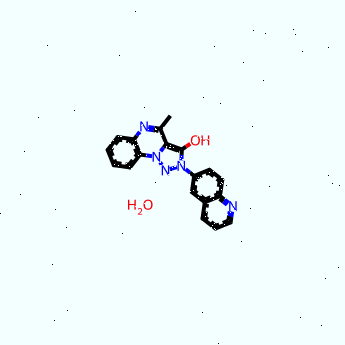 CC1=Nc2ccccc2N2[N]N(c3ccc4ncccc4c3)C(O)=C12.O